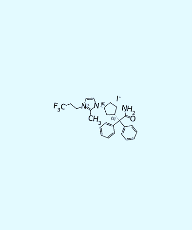 Cc1n([C@@H]2CC[C@H](C(C(N)=O)(c3ccccc3)c3ccccc3)C2)cc[n+]1CCC(F)(F)F.[I-]